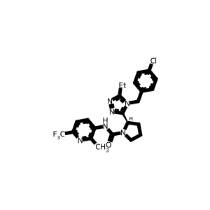 CCc1nnc([C@H]2CCCN2C(=O)Nc2ccc(C(F)(F)F)nc2C)n1Cc1ccc(Cl)cc1